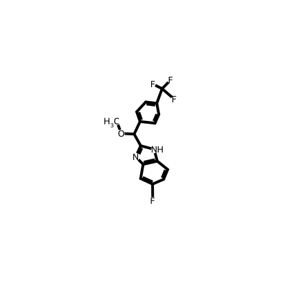 COC(c1ccc(C(F)(F)F)cc1)c1nc2cc(F)ccc2[nH]1